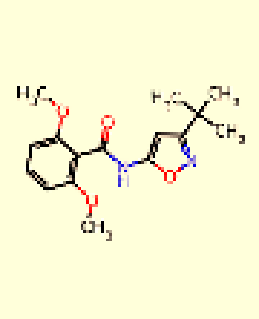 COc1cccc(OC)c1C(=O)Nc1cc(C(C)(C)C)no1